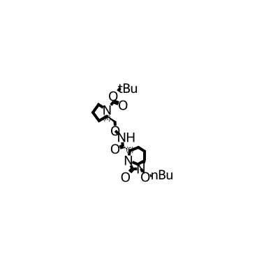 CCCCON1C(=O)N2CC1CC[C@H]2C(=O)NOC[C@H]1CCCN1C(=O)OC(C)(C)C